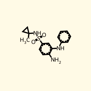 CC1(NS(=O)(=O)c2ccc(N)c(Nc3ccccc3)c2)CC1